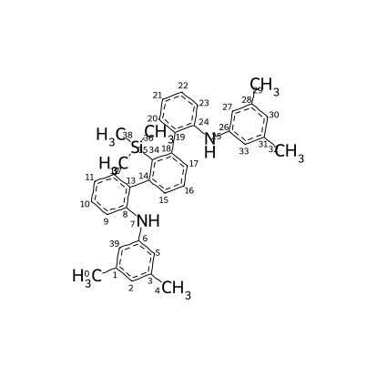 Cc1cc(C)cc(Nc2ccccc2-c2cccc(-c3ccccc3Nc3cc(C)cc(C)c3)c2[Si](C)(C)C)c1